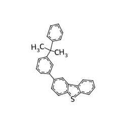 CC(C)(c1ccccc1)c1cccc(-c2ccc3sc4ccccc4c3c2)c1